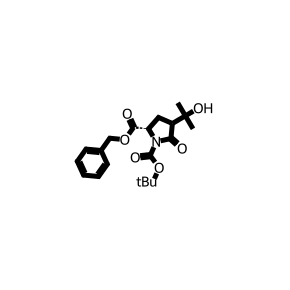 CC(C)(C)OC(=O)N1C(=O)C(C(C)(C)O)C[C@H]1C(=O)OCc1ccccc1